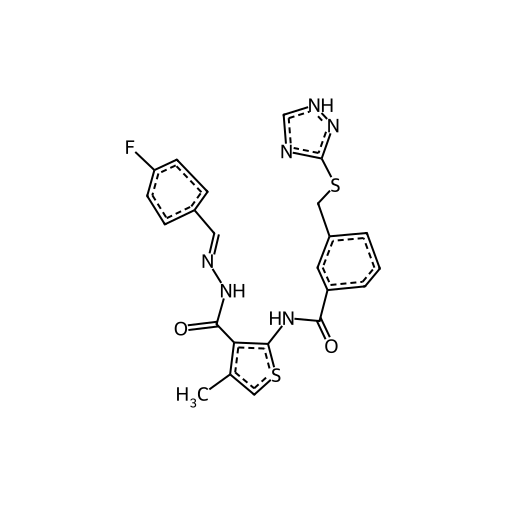 Cc1csc(NC(=O)c2cccc(CSc3nc[nH]n3)c2)c1C(=O)NN=Cc1ccc(F)cc1